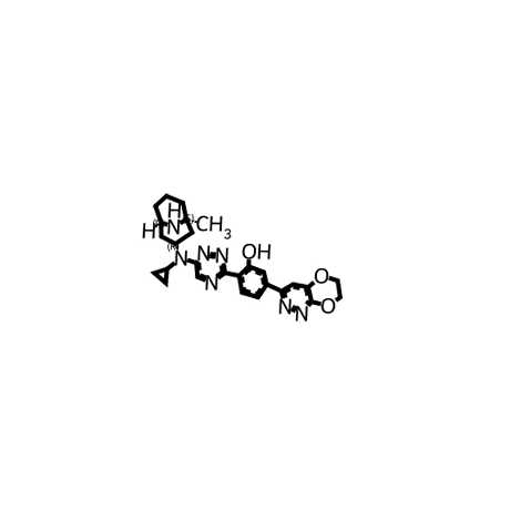 C[C@]12CCC[C@H](C[C@@H](N(c3cnc(-c4ccc(-c5cc6c(nn5)OCCO6)cc4O)nn3)C3CC3)C1)N2